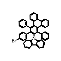 Brc1ccc(-c2c(-n3c4c(c5ccccc53)C=CCC4)c(C3=C=C=CC=C3)c3c4ccccc4c4ccccc4c3c2-c2ccccc2)cc1